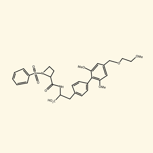 COCCOCc1cc(OC)c(-c2ccc(CC(NC(=O)C3CCN3S(=O)(=O)c3ccccc3)C(=O)O)cc2)c(OC)c1